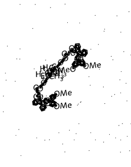 CCC(C)(O[Si](C)(C)C(C)(CC)CCCOCCOC(=O)CCC(=O)OC1c2ccccc2-c2c1c1c(c3ccccc23)OC(c2ccc(OC)cc2)(c2ccc(OC)cc2)C=C1)[Si](C)(C)CCCOCCOC(=O)CCC(=O)OC1c2ccccc2-c2c1c1c(c3ccccc23)OC(c2ccc(OC)cc2)(c2ccc(OC)cc2)C=C1